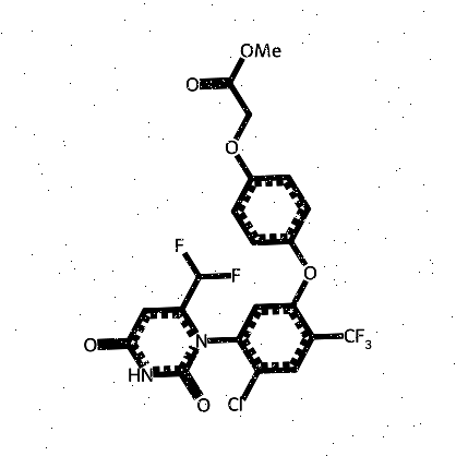 COC(=O)COc1ccc(Oc2cc(-n3c(C(F)F)cc(=O)[nH]c3=O)c(Cl)cc2C(F)(F)F)cc1